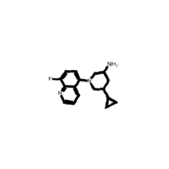 NC1CC(C2CC2)CN(c2ccc(F)c3ncccc23)C1